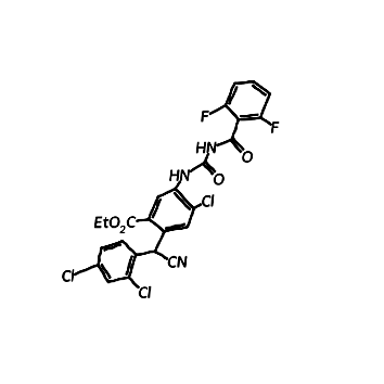 CCOC(=O)c1cc(NC(=O)NC(=O)c2c(F)cccc2F)c(Cl)cc1C(C#N)c1ccc(Cl)cc1Cl